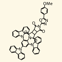 COc1ccc(-c2nnc(N3C(=O)C4C(C3=O)C3C(=O)N(c5c(-n6c7ccccc7c7ccccc76)cc(-n6c7ccccc7c7ccccc76)cc5-n5c6ccccc6c6ccccc65)C(=O)C43)o2)cc1